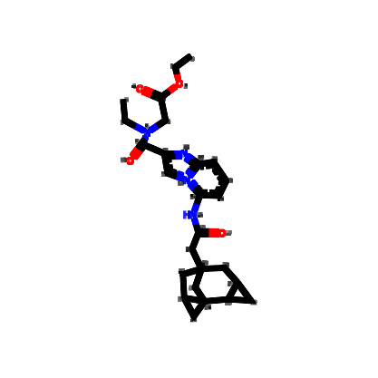 CCOC(=O)CN(CC)C(=O)c1cn2c(NC(=O)CC34CC5CC5C5(CC5C3)C4)cccc2n1